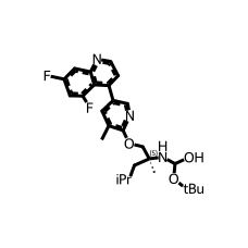 Cc1cc(-c2ccnc3cc(F)cc(F)c23)cnc1OC[C@](C)(CC(C)C)NC(O)OC(C)(C)C